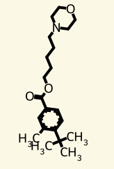 Cc1cc(C(=O)OCCCCCN2CCOCC2)ccc1C(C)(C)C